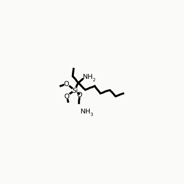 CCCCCCC(N)(CC)[Si](OC)(OC)OC.N